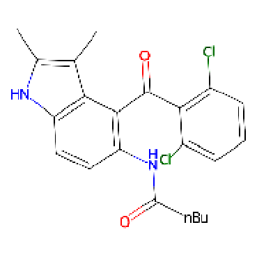 CCCCC(=O)Nc1ccc2[nH]c(C)c(C)c2c1C(=O)c1c(Cl)cccc1Cl